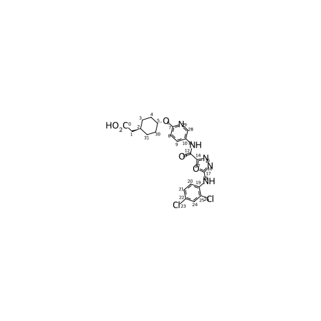 O=C(O)C[C@H]1CC[C@H](Oc2ccc(NC(=O)c3nnc(Nc4ccc(Cl)cc4Cl)o3)cn2)CC1